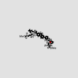 COC(=O)NCC[C@H](C(=O)N1CC2(CC2)C[C@H]1c1ncc(-c2ccc3c(c2)C(F)(F)c2cc(-c4ccc5nc([C@@H]6[C@H]7CC[C@H](C7)N6C(=O)[C@@H](NC(=O)OC)C(C)C)[nH]c5c4)ccc2-3)[nH]1)C(C)C